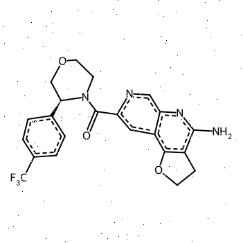 Nc1nc2cnc(C(=O)N3CCOC[C@@H]3c3ccc(C(F)(F)F)cc3)cc2c2c1CCO2